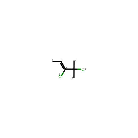 CC=C(Cl)C(C)(C)Cl